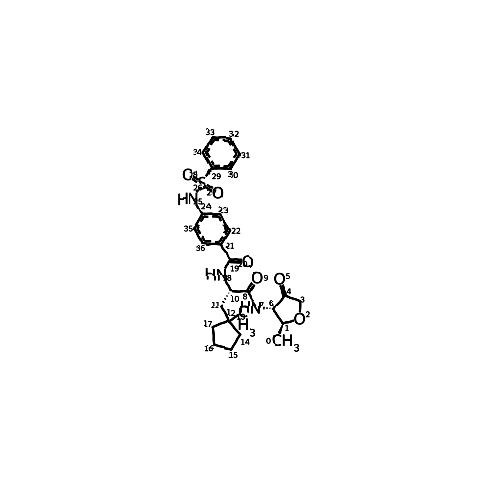 C[C@@H]1OCC(=O)[C@H]1NC(=O)[C@H](CC1(C)CCCC1)NC(=O)c1ccc(NS(=O)(=O)c2ccccc2)cc1